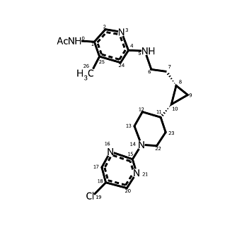 CC(=O)Nc1cnc(NCC[C@@H]2C[C@@H]2C2CCN(c3ncc(Cl)cn3)CC2)cc1C